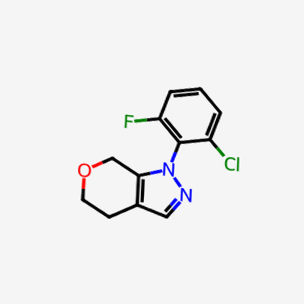 Fc1cccc(Cl)c1-n1ncc2c1COCC2